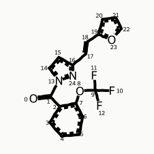 O=C(c1ccccc1OC(F)(F)F)n1ccc(/C=C/c2ccco2)n1